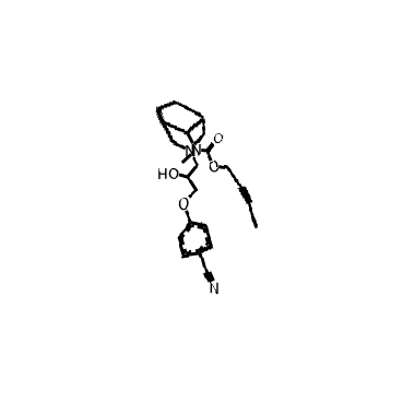 CC#CCOC(=O)N(C)C1C2CCC1CN(CC(O)COc1ccc(C#N)cc1)C2